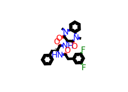 CN1C(=O)C(NC(=O)[C@H](Cc2ccccc2)NC(=O)Cc2cc(F)cc(F)c2)C(=O)N(C)c2ccccc21